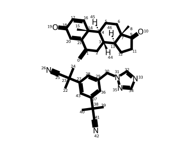 C=C1C[C@@H]2[C@H](CC[C@]3(C)C(=O)CC[C@@H]23)[C@@]2(C)C=CC(=O)C=C12.CC(C)(C#N)c1cc(Cn2cncn2)cc(C(C)(C)C#N)c1